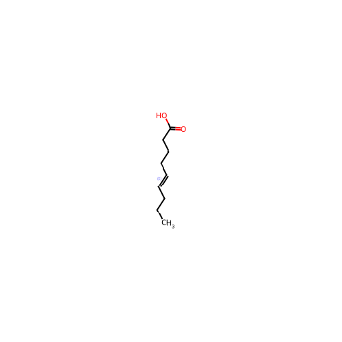 CCC/C=C/CCCC(=O)O